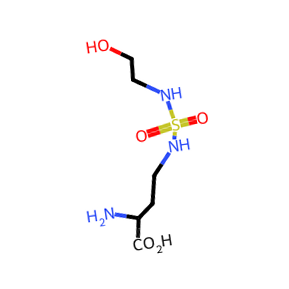 NC(CCNS(=O)(=O)NCCO)C(=O)O